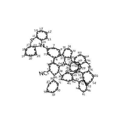 N#Cc1cc(-c2cccc(N3c4ccccc4Sc4ccccc43)c2)c(-n2c3ccccc3c3ccccc32)c(-c2ccc(-c3ccccc3)c(N3c4ccccc4Sc4ccccc43)c2)c1-c1ccccc1